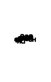 Cl.O=C(c1ccc(-c2ccccn2)cc1)[N+]1(Cl)CCN(S(=O)(=O)/C(=C/c2ccccc2)CCO)CC1